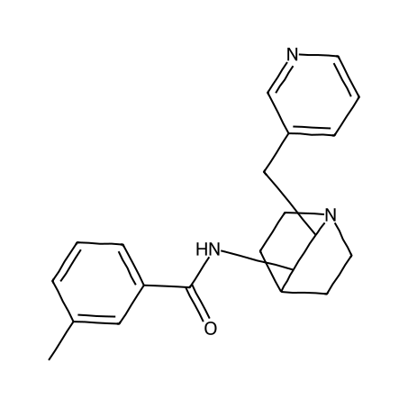 Cc1cccc(C(=O)NC2C3CCN(CC3)C2Cc2cccnc2)c1